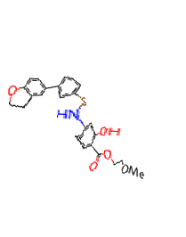 COCCOC(=O)c1ccc(NSc2cccc(-c3ccc4c(c3)CCO4)c2)cc1O